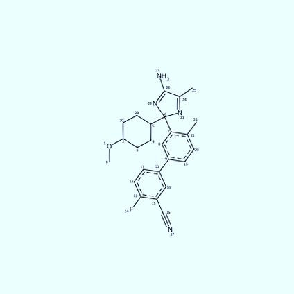 COC1CCC(C2(c3cc(-c4ccc(F)c(C#N)c4)ccc3C)N=C(C)C(N)=N2)CC1